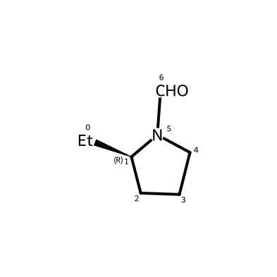 CC[C@@H]1CCCN1C=O